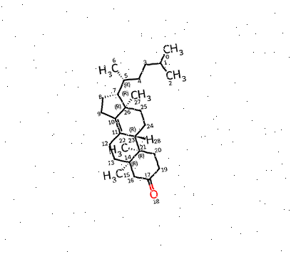 CC(C)CC[C@@H](C)[C@H]1CCC2=C3CC[C@]4(C)CC(=O)CC[C@]4(C)[C@H]3CC[C@@]21C